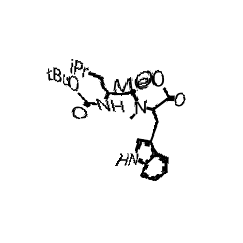 COC(=O)C(Cc1c[nH]c2ccccc12)N(C)C(=O)C(CC(C)C)NC(=O)OC(C)(C)C